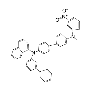 CN(c1ccc(-c2ccc(N(c3cccc(-c4ccccc4)c3)c3cccc4ccccc34)cc2)cc1)c1cccc([N+](=O)[O-])c1